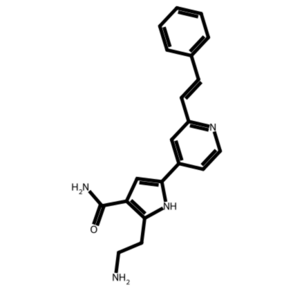 NCCc1[nH]c(-c2ccnc(C=Cc3ccccc3)c2)cc1C(N)=O